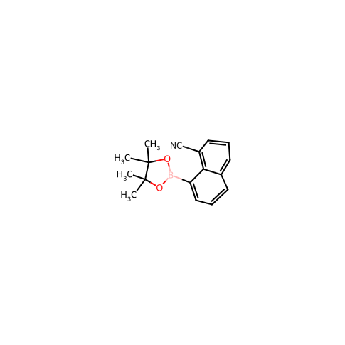 CC1(C)OB(c2cccc3cccc(C#N)c23)OC1(C)C